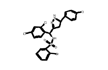 O=S(=O)(NC(C1=NNC(c2ccc(Cl)cc2)C1)c1ccc(Cl)cc1Cl)c1ccccc1Br